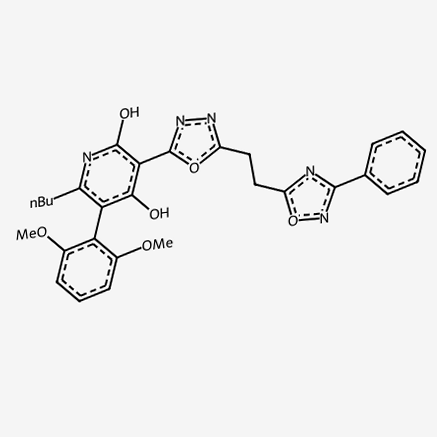 CCCCc1nc(O)c(-c2nnc(CCc3nc(-c4ccccc4)no3)o2)c(O)c1-c1c(OC)cccc1OC